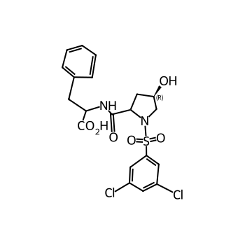 O=C(O)C(Cc1ccccc1)NC(=O)C1C[C@@H](O)CN1S(=O)(=O)c1cc(Cl)cc(Cl)c1